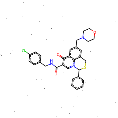 O=C(NCc1ccc(Cl)cc1)c1cn2c3c(cc(CN4CCOCC4)cc3c1=O)CSC2c1ccccc1